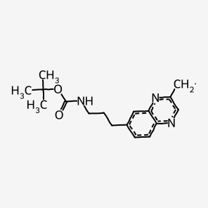 [CH2]c1cnc2ccc(CCCNC(=O)OC(C)(C)C)cc2n1